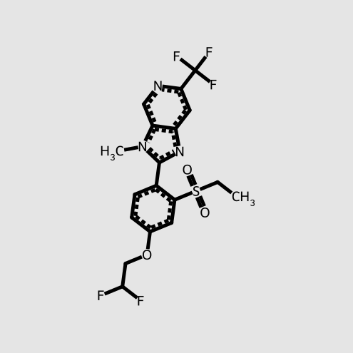 CCS(=O)(=O)c1cc(OCC(F)F)ccc1-c1nc2cc(C(F)(F)F)ncc2n1C